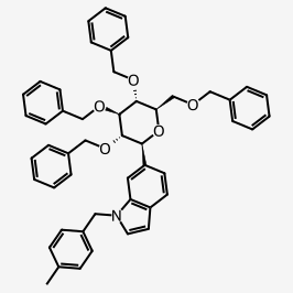 Cc1ccc(Cn2ccc3ccc([C@@H]4O[C@H](COCc5ccccc5)[C@@H](OCc5ccccc5)[C@H](OCc5ccccc5)[C@H]4OCc4ccccc4)cc32)cc1